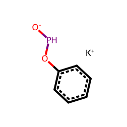 [K+].[O-]POc1ccccc1